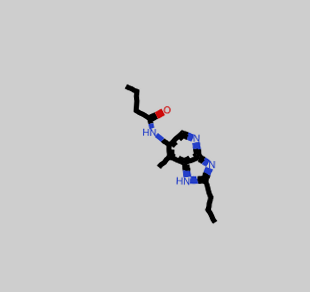 CCCC(=O)Nc1cnc2nc(CCC)[nH]c2c1C